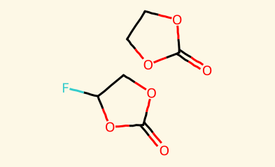 O=C1OCC(F)O1.O=C1OCCO1